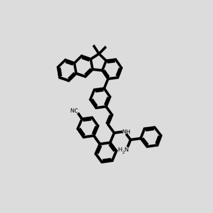 CC1(C)c2cc3ccccc3cc2-c2c(-c3cccc(/C=C/C(NC(N)c4ccccc4)c4ccccc4-c4ccc(C#N)cc4)c3)cccc21